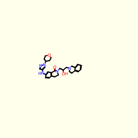 O=C1c2cc(Nc3cnn(C4CCOCC4)c3)ccc2CCN1CC(O)CN1CCc2ccccc2C1